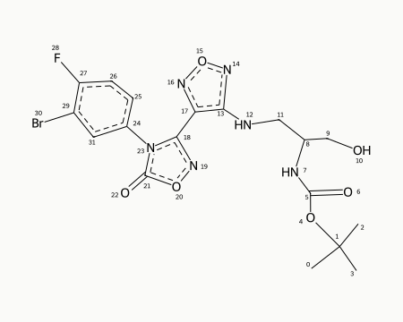 CC(C)(C)OC(=O)NC(CO)CNc1nonc1-c1noc(=O)n1-c1ccc(F)c(Br)c1